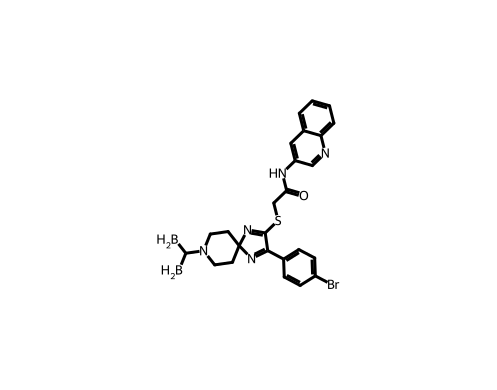 BC(B)N1CCC2(CC1)N=C(SCC(=O)Nc1cnc3ccccc3c1)C(c1ccc(Br)cc1)=N2